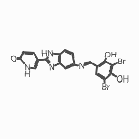 O=c1ccc(-c2nc3cc(/N=C/c4cc(Br)c(O)c(Br)c4O)ccc3[nH]2)c[nH]1